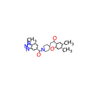 Cc1cc2c(cc1C)C(=O)CC1(CCN(C(=O)c3ccc4c(c3)nnn4C)CC1)O2